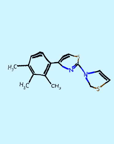 Cc1ccc(-c2csc(N3C=CSC3)n2)c(C)c1C